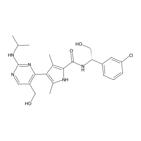 Cc1[nH]c(C(=O)N[C@H](CO)c2cccc(Cl)c2)c(C)c1-c1nc(NC(C)C)ncc1CO